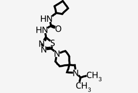 CC(C)N1CC2(CCN(c3nnc(NC(=O)NC4CCCC4)s3)CC2)C1